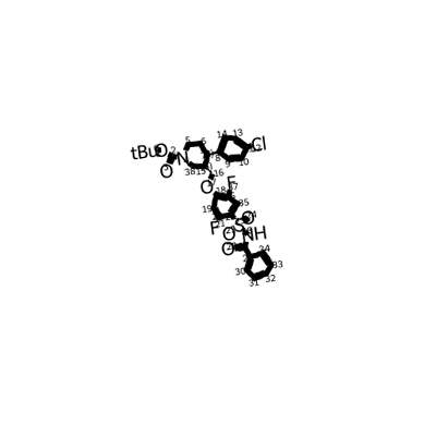 CC(C)(C)OC(=O)N1CC[C@@H](c2ccc(Cl)cc2)[C@H](COc2cc(F)c(S(=O)(=O)NC(=O)c3ccccc3)cc2F)C1